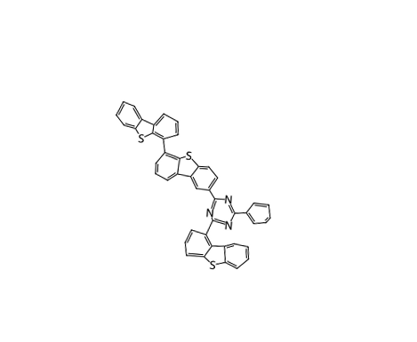 c1ccc(-c2nc(-c3ccc4sc5c(-c6cccc7c6sc6ccccc67)cccc5c4c3)nc(-c3cccc4sc5ccccc5c34)n2)cc1